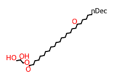 CCCCCCCCCCCCCCCC(=O)CCCCCCCCCCCCCCCCCC(=O)OCC(O)CO